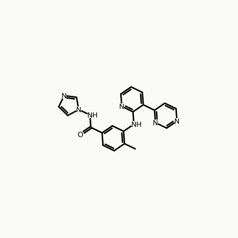 Cc1ccc(C(=O)Nn2ccnc2)cc1Nc1ncccc1-c1ccncn1